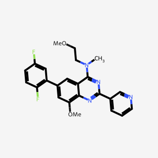 COCCN(C)c1nc(-c2cccnc2)nc2c(OC)cc(-c3cc(F)ccc3F)cc12